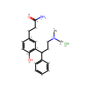 CC(C)N(CCC(c1ccccc1)c1cc(CCC(N)=O)ccc1O)C(C)C.Cl